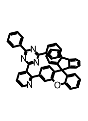 c1ccc(-c2nc(-c3ccccc3)nc(-c3cccnc3-c3ccc4c(c3)Oc3ccccc3C43c4ccccc4-c4ccccc43)n2)cc1